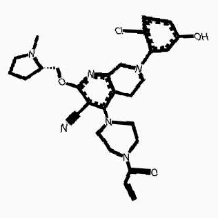 C=CC(=O)N1CCN(c2c(C#N)c(OC[C@@H]3CCCN3C)nc3c2CCN(c2cc(O)ccc2Cl)C3)CC1